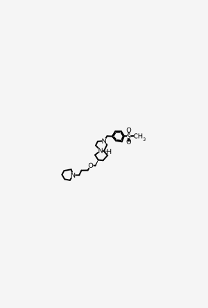 CS(=O)(=O)c1ccc(CN2CCN3C[C@H](COCCCN4CCCCC4)CC[C@@H]3C2)cc1